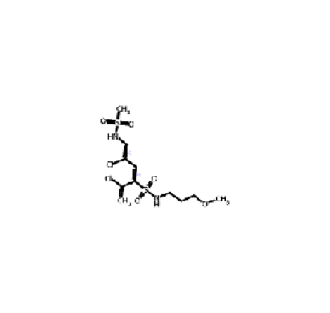 C=C(Cl)/C(=C\C(Cl)=C\NS(C)(=O)=O)S(=O)(=O)NCCCOC